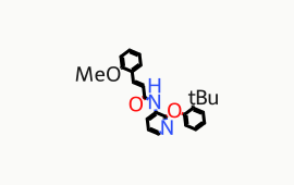 COc1ccccc1C=CC(=O)Nc1cccnc1Oc1ccccc1C(C)(C)C